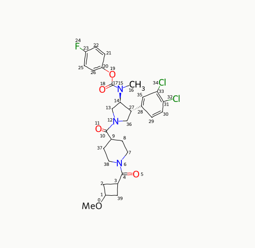 COC1CC(C(=O)N2CCC(C(=O)N3C[C@@H](N(C)C(=O)Oc4ccc(F)cc4)[C@H](c4ccc(Cl)c(Cl)c4)C3)CC2)C1